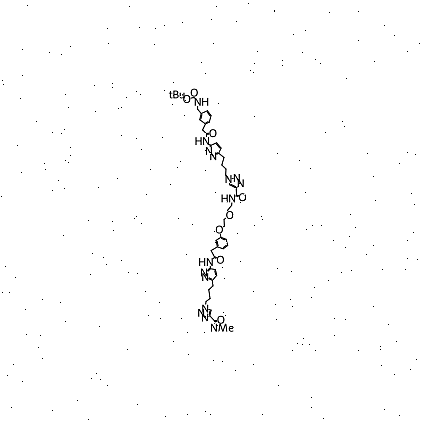 CNC(=O)c1cn(CCCCc2ccc(NC(=O)Cc3cccc(OCCOCCNC(=O)c4cn(CCCCc5ccc(NC(=O)Cc6cccc(CNC(=O)OC(C)(C)C)c6)nn5)nn4)c3)nn2)nn1